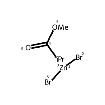 [Br][Zn][Br].[CH2]C(C)C(=O)OC